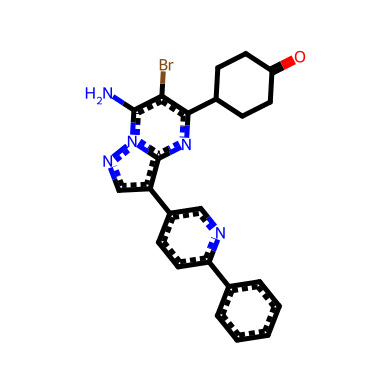 Nc1c(Br)c(C2CCC(=O)CC2)nc2c(-c3ccc(-c4ccccc4)nc3)cnn12